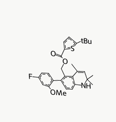 COc1cc(F)ccc1-c1ccc2c(c1COC(=O)c1ccc(C(C)(C)C)s1)C(C)=CC(C)(C)N2